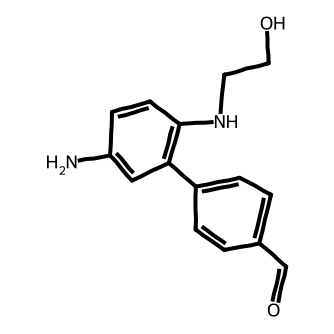 Nc1ccc(NCCO)c(-c2ccc(C=O)cc2)c1